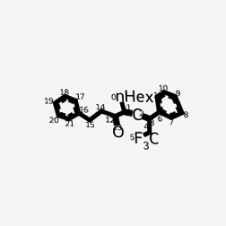 CCCCCCC(=C=C(CC(F)(F)F)c1ccccc1)C(=O)CCc1ccccc1